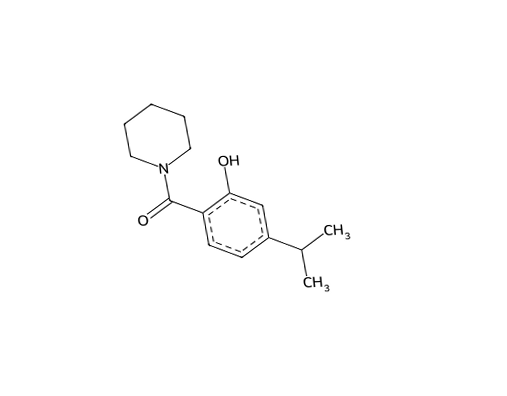 CC(C)c1ccc(C(=O)N2CCCCC2)c(O)c1